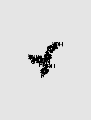 CC(C)NC(=O)[C@H]1CC[C@@H](n2c(NC(O)c3ccc(F)cc3)nc3ccc(CN4CCC(C(C)(C)O)CC4)cc32)CC1